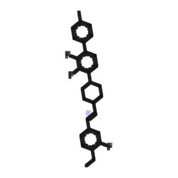 CCc1ccc(/C=C/C2CCC(c3ccc(-c4ccc(C)cc4)c(F)c3F)CC2)cc1F